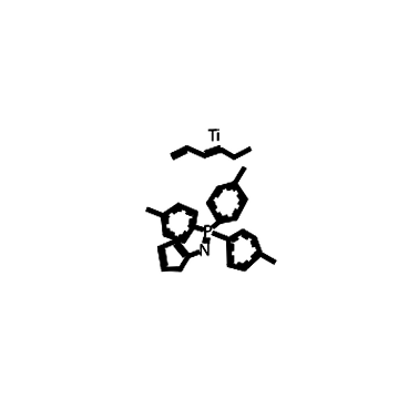 C=CC=CCC.Cc1ccc(P(=NC2=CC=CC2)(c2ccc(C)cc2)c2ccc(C)cc2)cc1.[Ti]